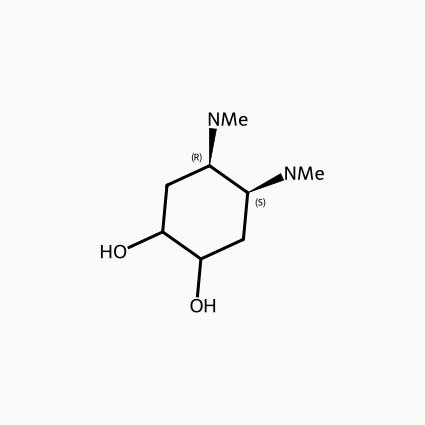 CN[C@H]1CC(O)C(O)C[C@H]1NC